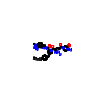 COc1ccc(C[C@@H]2C[C@@H](C(=O)NCc3ccc4c(c3)nnn4C)N(C(=O)[C@H](N)CCC(=O)N3CCNC(=O)C3)C2)cc1